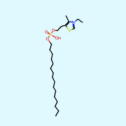 CCCCCCCCCCCCCCCCOP(=O)(O)OCCc1sc[n+](CC)c1C